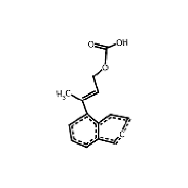 CC(=CCOC(=O)O)c1cccc2ccccc12